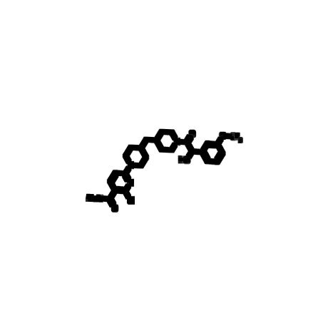 CNC(=O)c1ccc(N2CCC(CC3CCN(C(=O)C(O)c4cccc(OC(F)(F)F)c4)CC3)CC2)nc1Cl